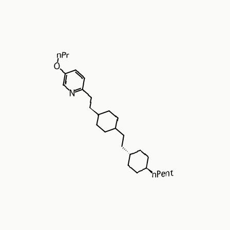 CCCCC[C@H]1CC[C@H](CCC2CCC(CCc3ccc(OCCC)cn3)CC2)CC1